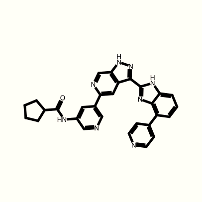 O=C(Nc1cncc(-c2cc3c(-c4nc5c(-c6ccncc6)cccc5[nH]4)n[nH]c3cn2)c1)C1CCCC1